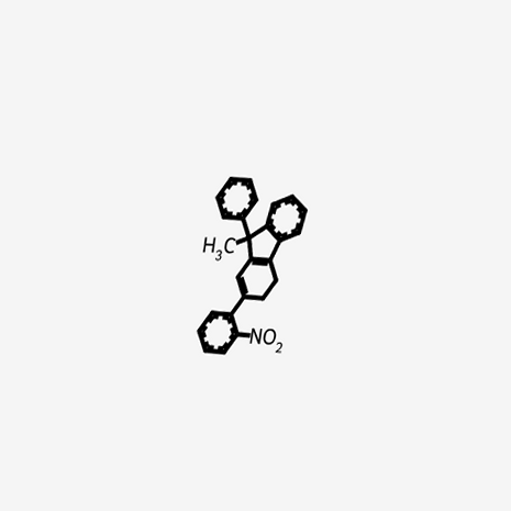 CC1(c2ccccc2)C2=C(CCC(c3ccccc3[N+](=O)[O-])=C2)c2ccccc21